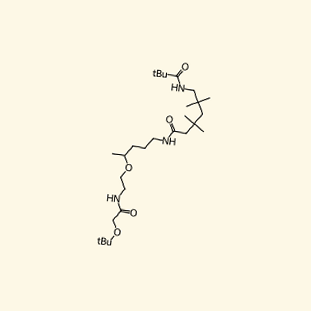 CC(CCCNC(=O)CC(C)(C)CC(C)(C)CNC(=O)C(C)(C)C)OCCNC(=O)COC(C)(C)C